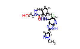 Cn1cc(-c2nc3c(N[C@H]4[C@@H](C(=O)NCCO)[C@@H]5C=C[C@H]4C5)c(Cl)cnc3[nH]2)cn1